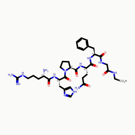 N=C(N)NCCC[C@H](N)C(=O)N[C@@H](Cc1c[nH]cn1)C(=O)N1CCC[C@H]1C(=O)N[C@@H](CCC(N)=O)C(=O)N[C@@H](Cc1ccccc1)C(=O)NCC(=O)NCC(=O)O